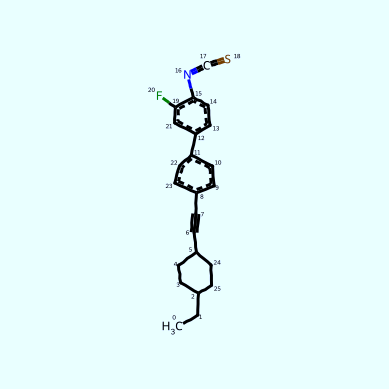 CCC1CCC(C#Cc2ccc(-c3ccc(N=C=S)c(F)c3)cc2)CC1